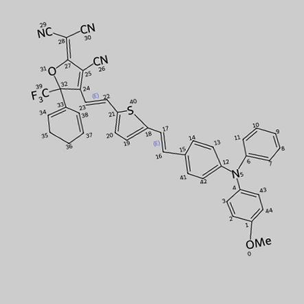 COc1ccc(N(c2ccccc2)c2ccc(/C=C/c3ccc(/C=C/C4=C(C#N)C(=C(C#N)C#N)OC4(C4=CCCC=C4)C(F)(F)F)s3)cc2)cc1